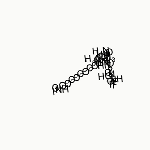 CC(C)[C@H](NC(=O)CCOCCOCCOCCOCCOCCOCCOCCOCCNC(=O)CI)C(=O)N[C@@H](CCCNC(N)=O)C(=O)Nc1ccc(CN(CCNC(=O)C(F)(F)F)C(=O)O)cc1